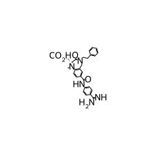 CN1c2ccc(C(=O)Nc3ccc(C(=N)N)cc3)cc2CN(CCc2ccccc2)C(=O)[C@H]1CC(=O)O